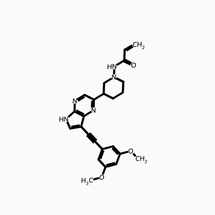 C=CC(=O)NN1CCCC(c2cnc3[nH]cc(C#Cc4cc(OC)cc(OC)c4)c3n2)C1